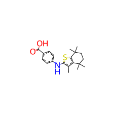 Cc1c(Nc2ccc(C(=O)O)cc2)sc2c1C(C)(C)CCC2(C)C